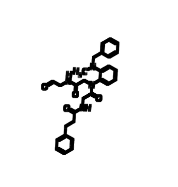 CN(Cc1ccccc1)c1ccccc1N(CC(=O)NCC=O)C(=O)CNC(=O)CCc1ccccc1